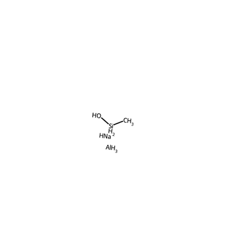 C[SiH2]O.[AlH3].[NaH]